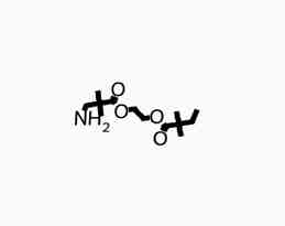 CCC(C)(C)C(=O)OCCOC(=O)C(C)(C)CN